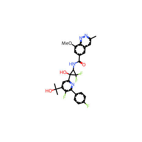 COc1cc(C(=O)NC2C(F)(F)C2(O)c2cc(C(C)(C)O)c(F)c(-c3ccc(F)cc3)n2)cc2cc(C)nnc12